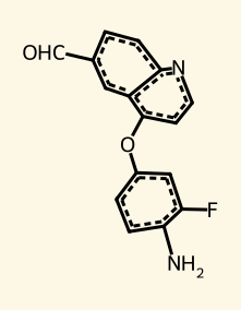 Nc1ccc(Oc2ccnc3ccc(C=O)cc23)cc1F